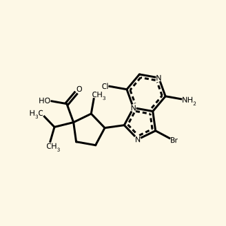 CC(C)C1(C(=O)O)CCC(c2nc(Br)c3c(N)ncc(Cl)n23)C1C